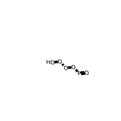 O=POOOO